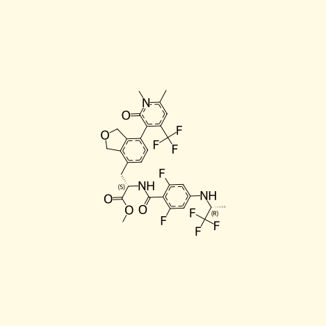 COC(=O)[C@H](Cc1ccc(-c2c(C(F)(F)F)cc(C)n(C)c2=O)c2c1COC2)NC(=O)c1c(F)cc(N[C@H](C)C(F)(F)F)cc1F